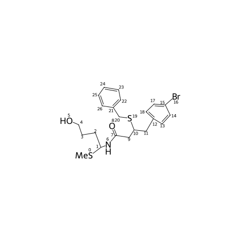 CSC(CCCO)NC(=O)CC(Cc1ccc(Br)cc1)SCc1ccccc1